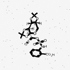 CC1(C)O[C@@H]2[C@@H](CO[C@@]3(C(=C=O)OS(=O)(=O)Nc4ccccc4C(=O)O)OC(C)(C)O[C@@H]23)O1